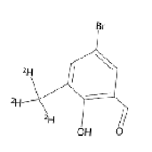 [2H]C([2H])([2H])c1cc(Br)cc(C=O)c1O